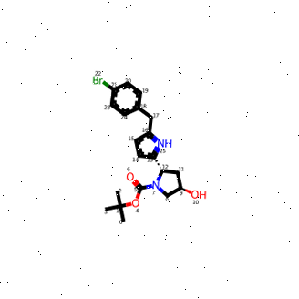 CC(C)(C)OC(=O)N1C[C@H](O)C[C@H]1c1ccc(Cc2ccc(Br)cc2)[nH]1